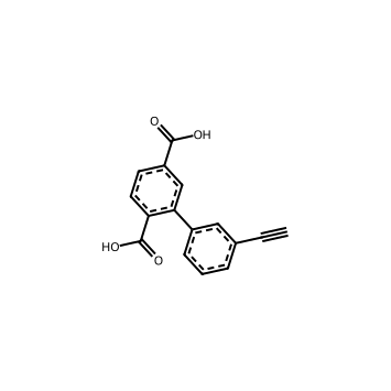 C#Cc1cccc(-c2cc(C(=O)O)ccc2C(=O)O)c1